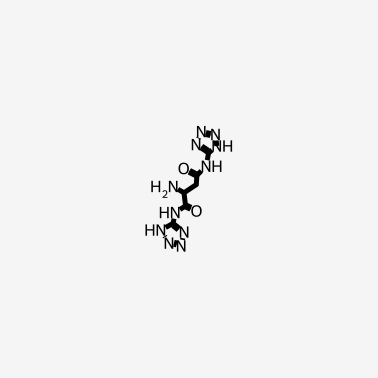 NC(CC(=O)Nc1nnn[nH]1)C(=O)Nc1nnn[nH]1